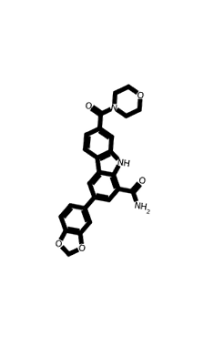 NC(=O)c1cc(-c2ccc3c(c2)OCO3)cc2c1[nH]c1cc(C(=O)N3CCOCC3)ccc12